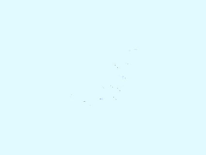 CCCCCOC(=O)Nc1ncnn2c([C@@]3(C#N)CC[C@@H](COC(=O)CC)O3)ccc12